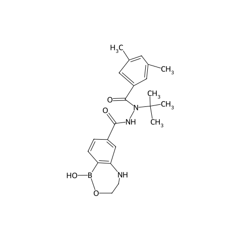 Cc1cc(C)cc(C(=O)N(NC(=O)c2ccc3c(c2)NCCOB3O)C(C)(C)C)c1